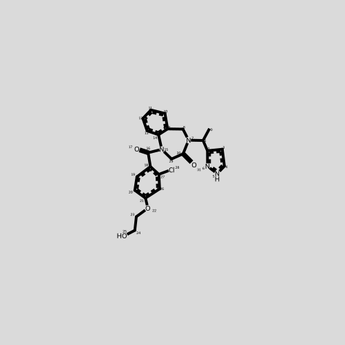 CC(c1cc[nH]n1)N1Cc2ccccc2N(C(=O)c2ccc(OCCO)cc2Cl)CC1=O